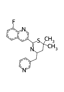 CC1(C)CC(Cc2cccnc2)N=C(c2cnc3c(F)cccc3c2)S1